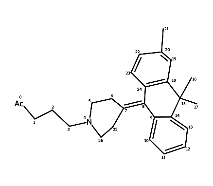 CC(=O)CCCN1CCC(=C2c3ccccc3C(C)(C)c3cc(C)ccc32)CC1